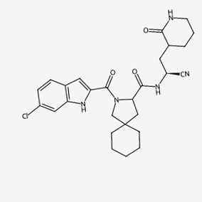 N#C[C@H](CC1CCCNC1=O)NC(=O)C1CC2(CCCCC2)CN1C(=O)c1cc2ccc(Cl)cc2[nH]1